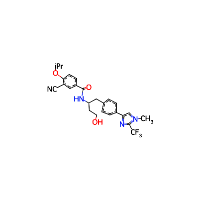 CC(C)Oc1ccc(C(=O)NC(CCO)Cc2ccc(-c3cn(C)c(C(F)(F)F)n3)cc2)cc1C#N